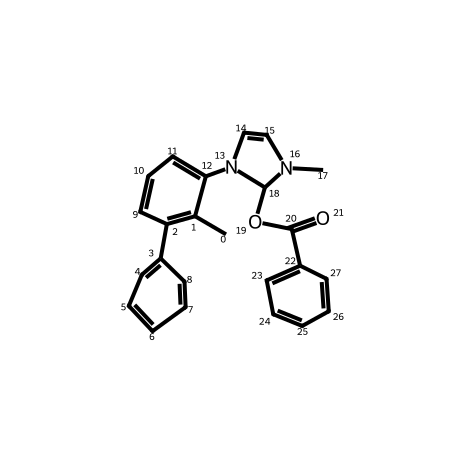 Cc1c(-c2ccccc2)cccc1N1C=CN(C)C1OC(=O)c1ccccc1